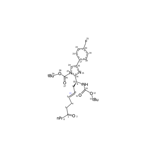 CCCC(=O)CC/C=C/C[C@H](NC(=O)OC(C)(C)C)c1nc(-c2ccc(F)cc2)cn1C(=O)OC(C)(C)C